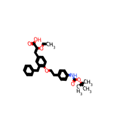 CCOC(Cc1ccc(OCCc2ccc(NC(=O)OC(C)(C)C)cc2)c(Cc2ccccc2)c1)C(=O)O